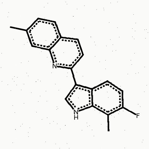 Cc1ccc2ccc(-c3c[nH]c4c(C)c(F)ccc34)nc2c1